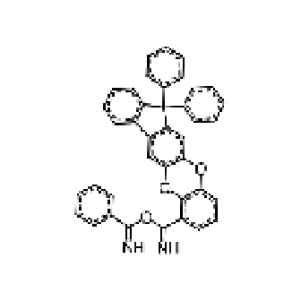 N=C(OC(=N)c1cccc2c1Oc1cc3c(cc1O2)C(c1ccccc1)(c1ccccc1)c1ccccc1-3)c1ccccc1